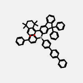 CC1(C)CCC(C)(C)c2c(-c3cc4c(cc3N(c3ccc(-c5ccccc5)cc3)c3ccc(-c5ccc(-c6ccccc6)cc5)cc3)C(c3ccccc3)(c3ccccc3)c3ccccc3-4)cccc21